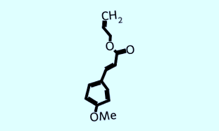 C=CCOC(=O)C=Cc1ccc(OC)cc1